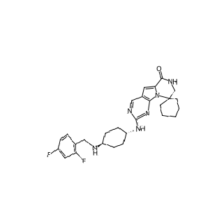 O=C1NCC2(CCCCC2)n2c1cc1cnc(N[C@H]3CC[C@H](NCc4ccc(F)cc4F)CC3)nc12